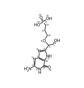 Nc1nc2nc(C(CO)OCCCP(=O)(O)O)[nH]c2c(=O)[nH]1